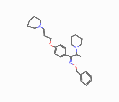 CC(C(=NOCc1ccccc1)c1ccc(OCCCN2CCCCC2)cc1)N1CCCCC1